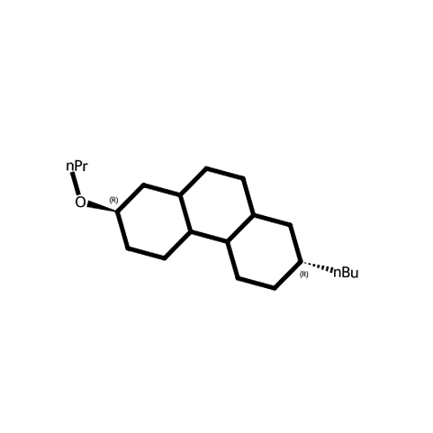 CCCC[C@@H]1CCC2C(CCC3C[C@H](OCCC)CCC32)C1